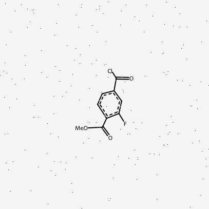 COC(=O)c1ccc(C(=O)Cl)cc1F